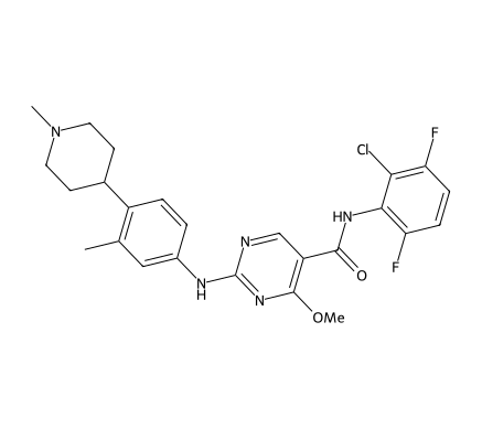 COc1nc(Nc2ccc(C3CCN(C)CC3)c(C)c2)ncc1C(=O)Nc1c(F)ccc(F)c1Cl